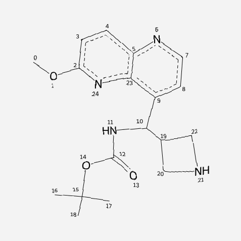 COc1ccc2nccc(C(NC(=O)OC(C)(C)C)C3CNC3)c2n1